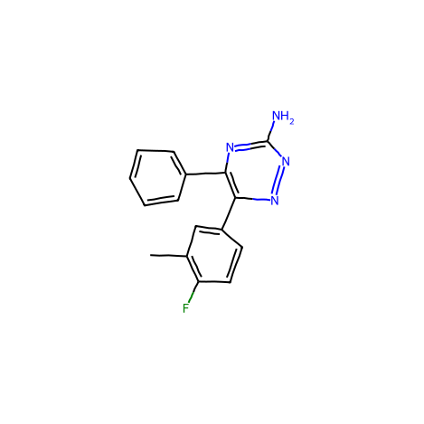 Cc1cc(-c2nnc(N)nc2-c2ccccc2)ccc1F